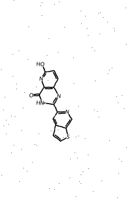 O=c1[nH]c(-c2cc3ccsc3cn2)nc2ccc(O)nc12